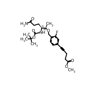 COC(=O)CCC#Cc1ccc(CO[C@H](C)[C@H](CCC(N)=O)NC(=O)OC(C)(C)C)c(F)c1